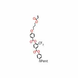 C=CC(=O)OCCCCOc1ccc(C(=O)Oc2ccc(C(=O)Oc3ccc(CCCCC)cc3)cc2C(F)(F)F)cc1